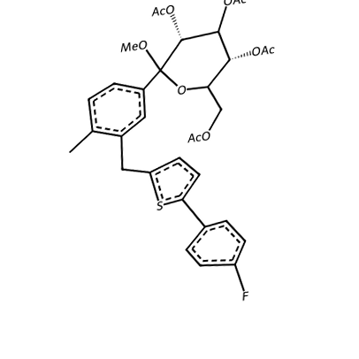 COC1(c2ccc(C)c(Cc3ccc(-c4ccc(F)cc4)s3)c2)OC(COC(C)=O)[C@@H](OC(C)=O)C(OC(C)=O)[C@H]1OC(C)=O